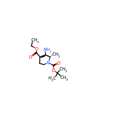 CCOC(=O)C1=C(N)[C@H](C)N(C(=O)OC(C)(C)C)CC1